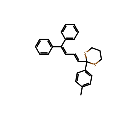 Cc1ccc(C2(/C=C/C=C(c3ccccc3)c3ccccc3)SCCCS2)cc1